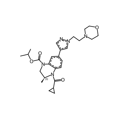 CC(C)OC(=O)N1C[C@H](C)N(C(=O)C2CC2)c2ccc(-c3cnn(CCN4CCOCC4)c3)cc21